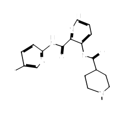 CC(C)N1CCC(C(=O)Nc2cccnc2C(=O)Nc2ccc(Cl)cn2)CC1.Cl